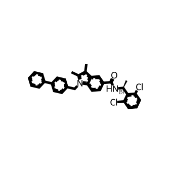 Cc1c(C)n(Cc2ccc(-c3ccccc3)cc2)c2ccc(C(=O)N[C@@H](C)c3c(Cl)cccc3Cl)cc12